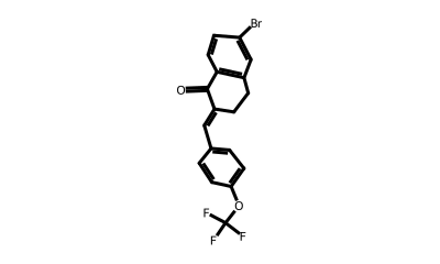 O=C1/C(=C/c2ccc(OC(F)(F)F)cc2)CCc2cc(Br)ccc21